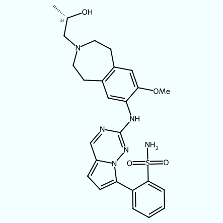 COc1cc2c(cc1Nc1ncc3ccc(-c4ccccc4S(N)(=O)=O)n3n1)CCN(C[C@H](C)O)CC2